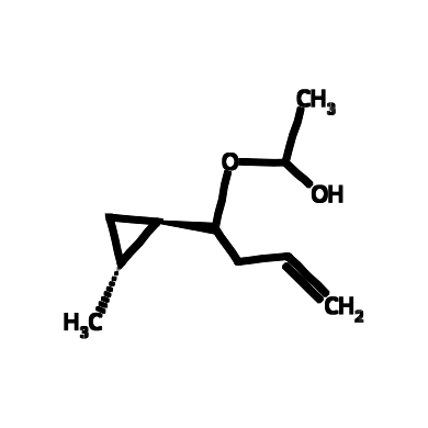 C=CCC(OC(C)O)[C@@H]1C[C@H]1C